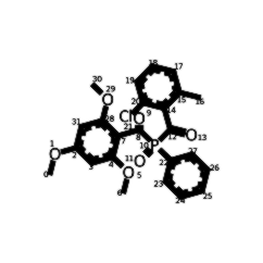 COc1cc(OC)c(C(=O)P(=O)(C(=O)c2c(C)cccc2Cl)c2ccccc2)c(OC)c1